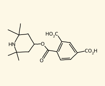 CC1(C)CC(OC(=O)c2ccc(C(=O)O)cc2C(=O)O)CC(C)(C)N1